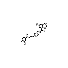 Cc1ccc(NCCCN2CC3CN(C(=O)c4cc(F)cc5c4OCOC5)CC3C2)cc1Cl